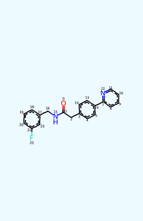 O=C(Cc1ccc(-c2ccccn2)cc1)NCc1cccc(F)c1